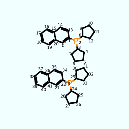 [c]1c(P(C2CCCC2)C2CCCC2)ccc2ccccc12.[c]1c(P(C2CCCC2)C2CCCC2)ccc2ccccc12